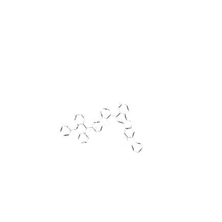 c1ccc(-c2c3ccccc3c(-c3ccc4oc5c(-c6cc7c8cc9sc%10ccccc%10c9cc8sc7c7ccccc67)cccc5c4c3)c3ccccc23)cc1